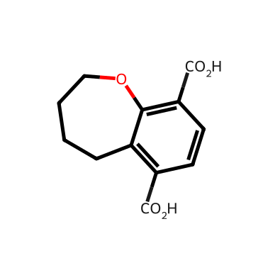 O=C(O)c1ccc(C(=O)O)c2c1CCCCO2